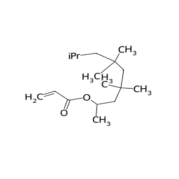 C=CC(=O)OC(C)CC(C)(C)CC(C)(C)CC(C)C